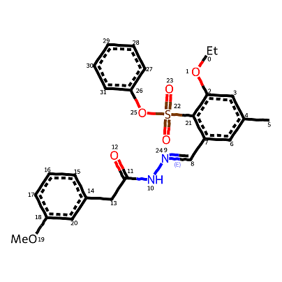 CCOc1cc(C)cc(/C=N/NC(=O)Cc2cccc(OC)c2)c1S(=O)(=O)Oc1ccccc1